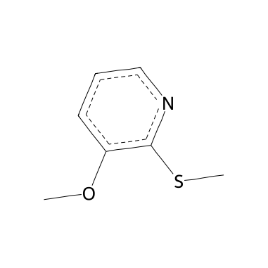 COc1cccnc1SC